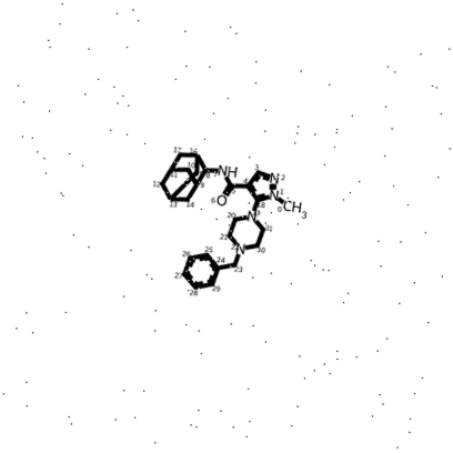 Cn1ncc(C(=O)NC2C3CC4CC(C3)CC2C4)c1N1CCN(Cc2ccccc2)CC1